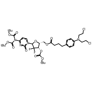 CC(C)(C)OC(=O)O[C@H]1[C@@H](COC(=O)CCCc2ccc(N(CCCl)CCCl)cc2)OC(n2ccc(N(C(=O)OC(C)(C)C)C(=O)OC(C)(C)C)nc2=O)C1(F)F